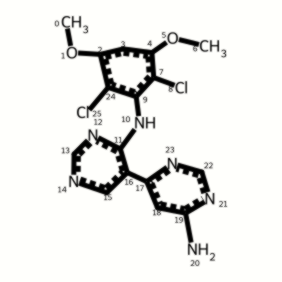 COc1cc(OC)c(Cl)c(Nc2ncncc2-c2cc(N)ncn2)c1Cl